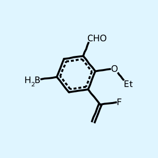 Bc1cc(C=O)c(OCC)c(C(=C)F)c1